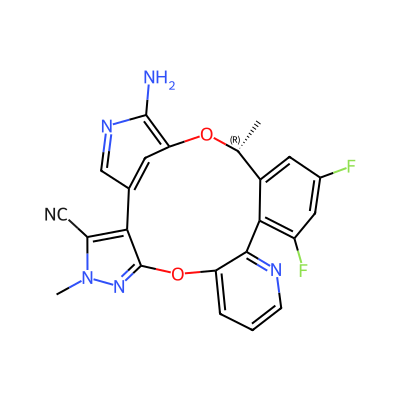 C[C@H]1Oc2cc(cnc2N)-c2c(nn(C)c2C#N)Oc2cccnc2-c2c(F)cc(F)cc21